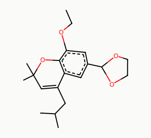 CCOc1cc(C2OCCO2)cc2c1OC(C)(C)C=C2CC(C)C